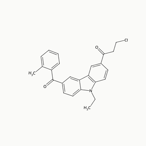 CCn1c2ccc(C(=O)CCCl)cc2c2cc(C(=O)c3ccccc3C)ccc21